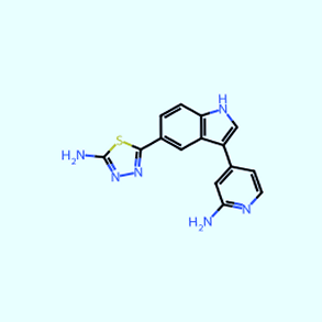 Nc1cc(-c2c[nH]c3ccc(-c4nnc(N)s4)cc23)ccn1